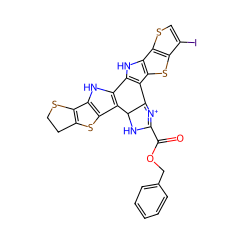 O=C(OCc1ccccc1)C1=[N+]=C2c3c([nH]c4c3sc3c(I)csc34)-c3[nH]c4c5c(sc4c3C2N1)CCS5